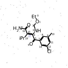 CCOCN/C(C(=O)c1cc(C)cc(Cl)c1)=C(\C(N)=O)C(C)C